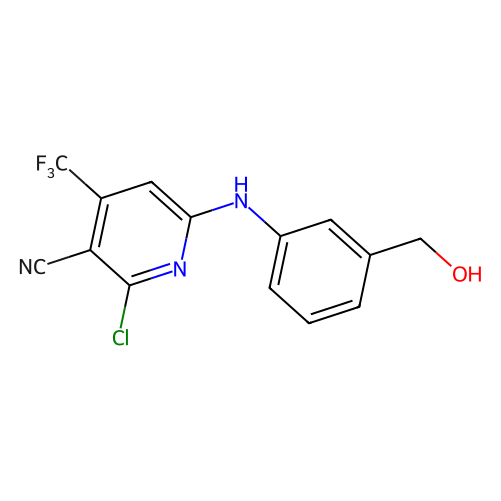 N#Cc1c(C(F)(F)F)cc(Nc2cccc(CO)c2)nc1Cl